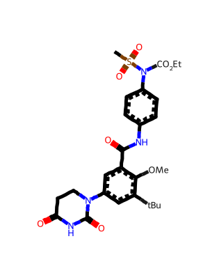 CCOC(=O)N(c1ccc(NC(=O)c2cc(N3CCC(=O)NC3=O)cc(C(C)(C)C)c2OC)cc1)S(C)(=O)=O